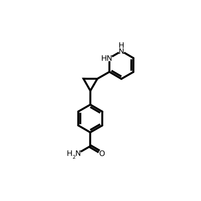 NC(=O)c1ccc(C2CC2C2=CC=CNN2)cc1